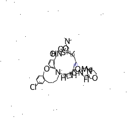 CO[C@@]1(CN2CCN3CCOC[C@@H]3C2)/C=C/C[C@H](C)[C@@H](CCN(C)C)S(=O)(=O)NC(=O)c2ccc3c(c2)N(CCCCc2cc(Cl)ccc2CO3)C[C@@H]2CC[C@H]21